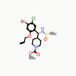 C=CCOc1cc(Br)c(Cl)cc1[C@H](N[S@@+]([O-])C(C)(C)C)C1CCN(C(=O)OC(C)(C)C)CC1